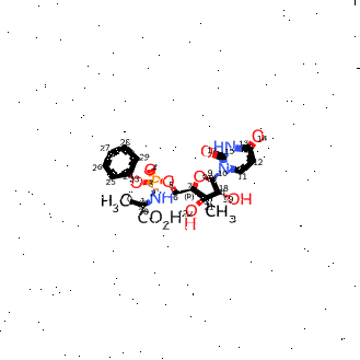 C[C@H](NP(=O)(OC[C@H]1O[C@@H](n2ccc(=O)[nH]c2=O)[C@H](O)[C@@]1(C)O)Oc1ccccc1)C(=O)O